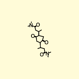 CC(CC(=O)N(C)C)C1CC(=O)C(C(C)CC(=O)N(C)C)CC1=O